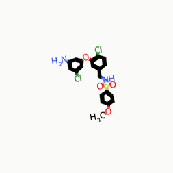 COc1ccc(S(=O)(=O)NCc2ccc(Cl)c(Oc3cc(N)cc(Cl)c3)c2)cc1